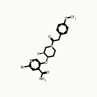 NC(=O)c1cc(Br)ncc1O[C@@H]1CCN(C(=O)Cc2ccc(OC(F)(F)F)cc2)C[C@@H]1F